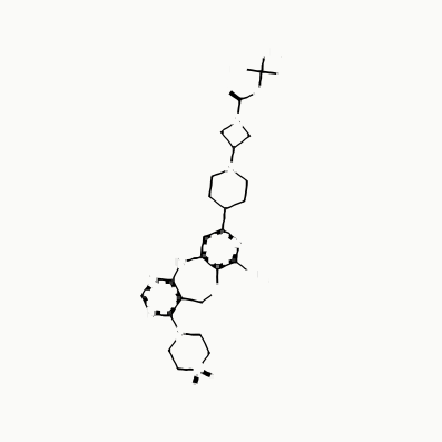 Cc1nc(C2CCN(C3CN(C(=O)OC(C)(C)C)C3)CC2)cc2c1OCc1c(ncnc1N1CCS(=O)(=O)CC1)N2